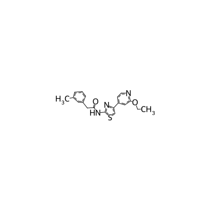 CCOc1cc(-c2csc(NC(=O)Cc3cccc(C)c3)n2)ccn1